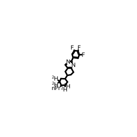 [2H]C1([2H])CC(C2CCc3nc(-c4cc(F)c(F)c(F)c4)ncc3C2)CC([2H])([2H])C1CCC